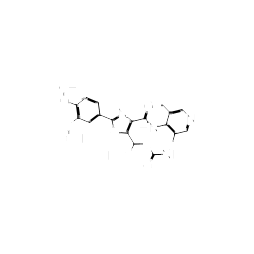 COc1ccc(-c2nc(C(=O)Nc3c(Cl)cncc3Cl)c(C(C)OC(N)=O)o2)cc1OC